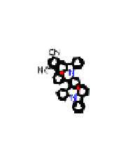 N#Cc1ccc(-c2cccc(-c3c(-c4ccccc4-n4c5ccccc5c5ccccc54)cccc3-n3c4ccccc4c4ccccc43)c2)c(C#N)c1